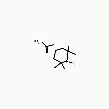 C=C(C)C(=O)O.CC1(C)CCCC(C)(C)N1[O]